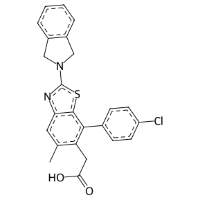 Cc1cc2nc(N3Cc4ccccc4C3)sc2c(-c2ccc(Cl)cc2)c1CC(=O)O